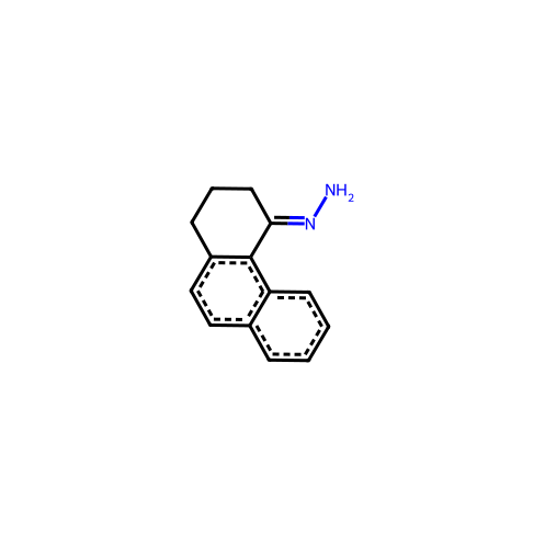 NN=C1CCCc2ccc3ccccc3c21